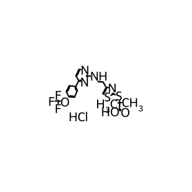 CC(C)(Sc1nc(CCNc2nccc(-c3ccc(OC(F)(F)F)cc3)n2)cs1)C(=O)O.Cl